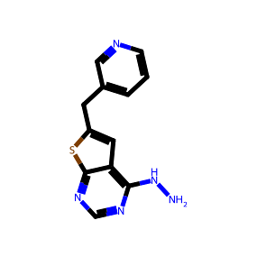 NNc1ncnc2sc(Cc3cccnc3)cc12